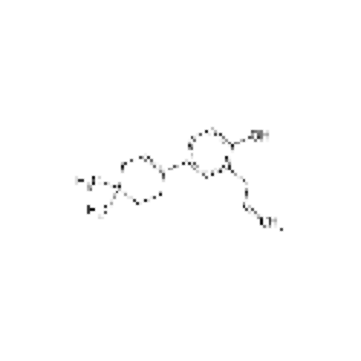 C=CCc1cc(C2=CCC(C)(C)CC2)ccc1O